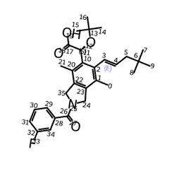 Cc1c(/C=C/CC(C)(C)C)c([C@H](OC(C)(C)C)C(=O)O)c(C)c2c1CN(C(=O)c1cccc(F)c1)C2